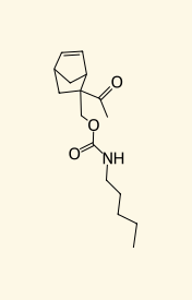 CCCCCNC(=O)OCC1(C(C)=O)CC2C=CC1C2